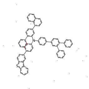 c1ccc(-c2ccc(-c3ccc(N(c4ccc(-c5ccc6sc7ccccc7c6c5)cc4)c4cc(-c5cccc6ccccc56)ccc4-c4ccccc4)cc3)cc2-c2ccccc2)cc1